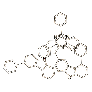 c1ccc(-c2ccc3c(c2)c2ccccc2n3-c2ccc3oc4ccccc4c3c2-c2ccc3oc4cccc(-c5cccc(-c6nc(-c7ccccc7)nc(-c7ccccc7)n6)c5)c4c3c2)cc1